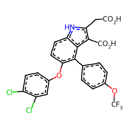 O=C(O)Cc1[nH]c2ccc(Oc3ccc(Cl)c(Cl)c3)c(-c3ccc(OC(F)(F)F)cc3)c2c1C(=O)O